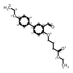 CCOC(=O)CCCOc1ccc(-c2ccc(OCC)cc2)cc1C=O